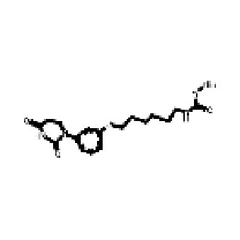 CC(C)(C)OC(=O)NCCCCCCOc1cccc(N2CCC(=O)NC2=O)c1